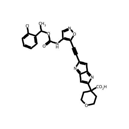 CC(OC(=O)Nc1cnoc1C#CC1=CC2=NC(C3(C(=O)O)CCOCC3)=CC2=N1)c1ccccc1Cl